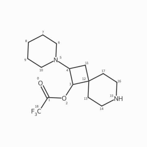 O=C(OC1C(N2CCCCC2)CC12CCNCC2)C(F)(F)F